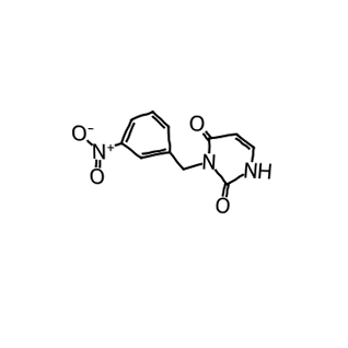 O=c1cc[nH]c(=O)n1Cc1cccc([N+](=O)[O-])c1